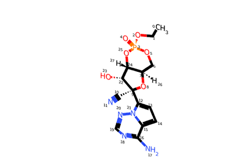 CCO[P@]1(=O)OC[C@H]2O[C@@](C#N)(c3ccc4c(N)ncnn34)[C@H](O)[C@@H]2O1